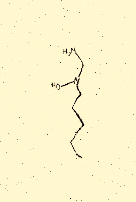 CCCCCN(O)CN